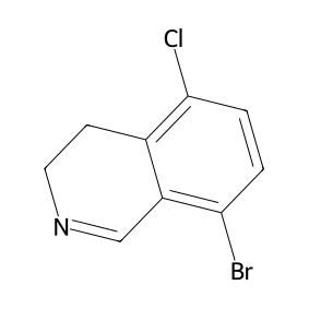 Clc1ccc(Br)c2c1CCN=C2